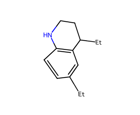 CCc1ccc2c(c1)C(CC)CCN2